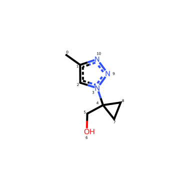 Cc1cn(C2(CO)CC2)nn1